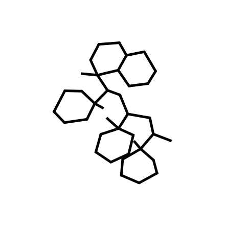 CC(CC(CC(C1(C)CCCCC1)C1(C)CCCC2CCCCC21)C1(C)CCCCC1)C1(C)CCCCC1